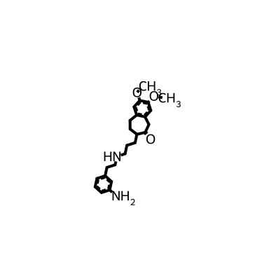 COc1cc2c(cc1OC)CC(=O)C(CCCNCCc1cccc(N)c1)CC2